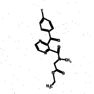 CCOC(=O)CN(C)C(=O)c1nccnc1C(=O)c1ccc(F)cc1